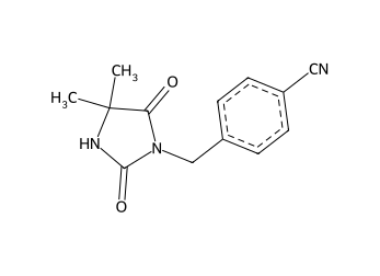 CC1(C)NC(=O)N(Cc2ccc(C#N)cc2)C1=O